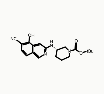 CC(C)(C)OC(=O)N1CCC[C@H](Nc2cc3c(O)c(C#N)ccc3cn2)C1